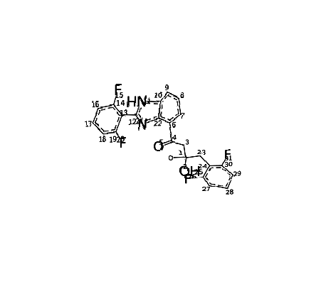 CC(O)(CC(=O)c1cccc2[nH]c(-c3c(F)cccc3F)nc12)Cc1c(F)cccc1F